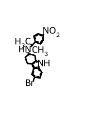 CC(C)(N[C@@H]1CCc2c([nH]c3ccc(Br)cc23)C1)c1ccc([N+](=O)[O-])cc1